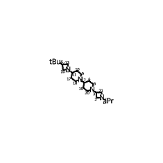 CC(C)N1CC(N2CCC(N3CCC(N4CC(C(C)(C)C)C4)CC3)CC2)C1